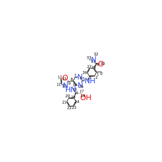 Cc1cc(Nc2ncc(-c3ncco3)c(N[C@H](CO)c3ccccc3)n2)ccc1C(=O)N(C)C